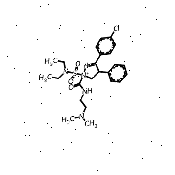 CCN(CC)S(=O)(=O)[N+]1(C(=O)NCCN(C)C)CC(c2ccccc2)C(c2ccc(Cl)cc2)=N1